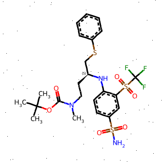 CN(CC[C@@H](CSc1ccccc1)Nc1ccc(S(N)(=O)=O)cc1S(=O)(=O)C(F)(F)F)C(=O)OC(C)(C)C